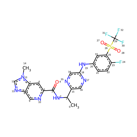 CC(NC(=O)c1cc2c(cn1)ncn2C)c1cnc(Nc2ccc(F)c(S(=O)(=O)C(F)(F)F)c2)cn1